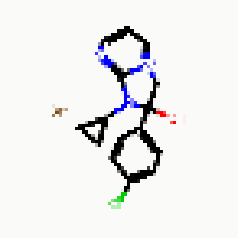 OC1(c2ccc(Cl)cc2)C[n+]2cccnc2N1C1CC1.[Br-]